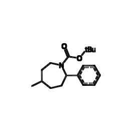 CC1CCC(c2ccccc2)N(C(=O)OC(C)(C)C)CC1